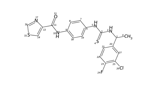 CC(NC(=S)Nc1ccc(NC(=O)c2cscn2)cc1)c1ccc(F)c(Cl)c1